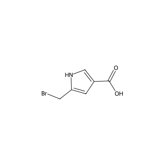 O=C(O)c1c[nH]c(CBr)c1